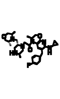 C[C@@H]1CN(CC(=O)N2c3cc(Cc4ccc(F)cc4)c(NC4CC4)nc3OC[C@@H]2C)[C@@H](CN2[C@H](C)COC[C@H]2C)CN1